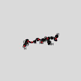 CC1(C)CCC(CN2CCN(c3ccc(C(=O)NS(=O)(=O)c4ccc(NCC5CCN(Cc6cnn(CCCC#Cc7cccc8c7C(=O)N(C7CCC(=O)NC7=O)C8=O)c6)CC5)c([N+](=O)[O-])c4)c(Oc4cnc5[nH]ccc5c4)c3)CC2)=C(c2ccc(Cl)cc2)C1